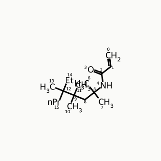 C=CC(=O)NC(C)(C)CC(C)(C)C(C)(CC)CCC